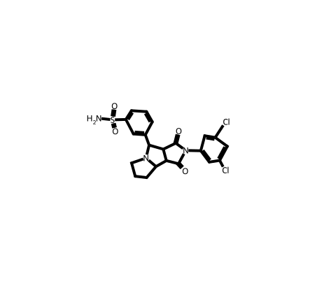 NS(=O)(=O)c1cccc(C2C3C(=O)N(c4cc(Cl)cc(Cl)c4)C(=O)C3C3CCCN32)c1